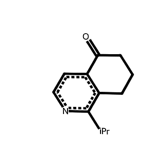 CC(C)c1nccc2c1CCCC2=O